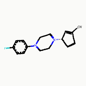 N#CC1=C[C@@H](N2CCN(c3ccc(F)cc3)CC2)CC1